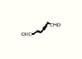 O=CCC#C/C=C/CC=O